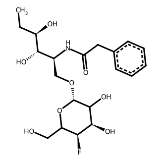 CC[C@@H](O)[C@@H](O)[C@H](CO[C@H]1OC(CO)[C@H](F)[C@H](O)C1O)NC(=O)Cc1ccccc1